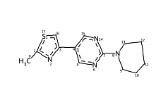 Cc1nc(-c2cnc(N3CCCCC3)nc2)cs1